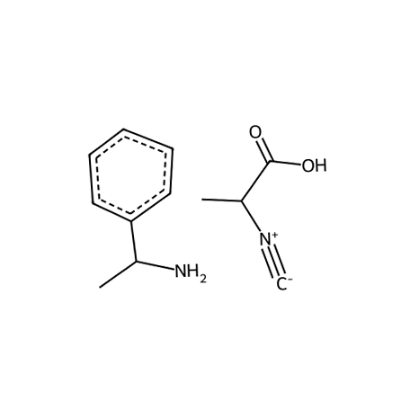 CC(N)c1ccccc1.[C-]#[N+]C(C)C(=O)O